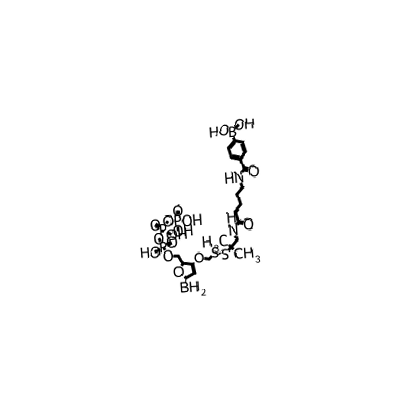 B[C@H]1C[C@@H](OCSSC(C)(C)CNC(=O)CCCCNC(=O)c2ccc(B(O)O)cc2)C(COP(=O)(O)OP(=O)(O)OP(=O)(O)O)O1